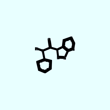 CCN(C(=O)C1N=Nc2ncccc21)c1ccccc1